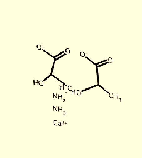 CC(O)C(=O)[O-].CC(O)C(=O)[O-].N.N.[Ca+2]